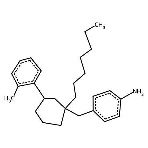 CCCCCCCC1(Cc2ccc(N)cc2)CCCC(c2ccccc2C)C1